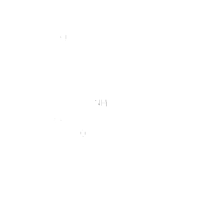 CCOC(=O)c1[nH]c(-c2ccccc2)c2cc(Cl)ccc12